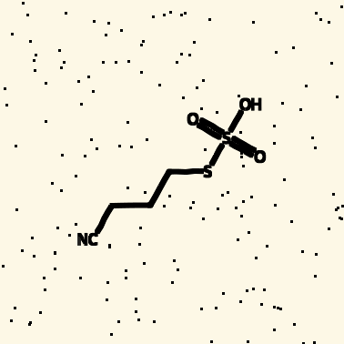 N#CCCCSS(=O)(=O)O